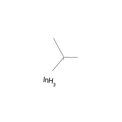 C[C](C)C.[InH3]